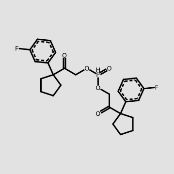 O=C(CO[PH](=O)OCC(=O)C1(c2cccc(F)c2)CCCC1)C1(c2cccc(F)c2)CCCC1